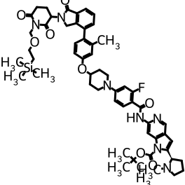 Cc1cc(OC2CCN(c3ccc(C(=O)Nc4cc5c(cn4)cc([C@H]4CCCN4C)n5C(=O)OC(C)(C)C)c(F)c3)CC2)ccc1-c1cccc2c1CN(C1CCC(=O)N(COCC[Si](C)(C)C)C1=O)C2=O